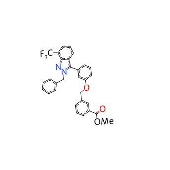 COC(=O)c1cccc(COc2cccc(-c3c4cccc(C(F)(F)F)c4nn3Cc3ccccc3)c2)c1